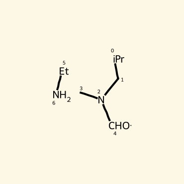 CC(C)CN(C)[C]=O.CCN